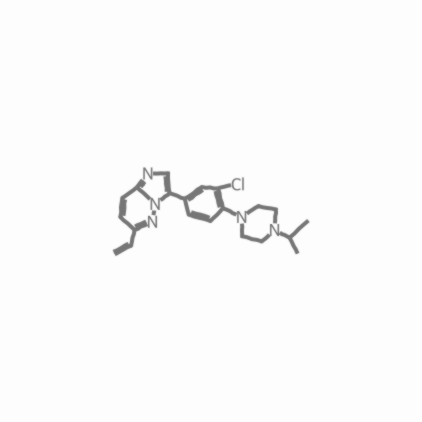 C=Cc1ccc2ncc(-c3ccc(N4CCN(C(C)C)CC4)c(Cl)c3)n2n1